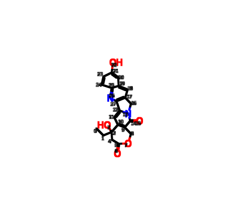 CCC1(O)CC(=O)OCc2c1cc1n(c2=O)Cc2cc3cc(O)ccc3nc2-1